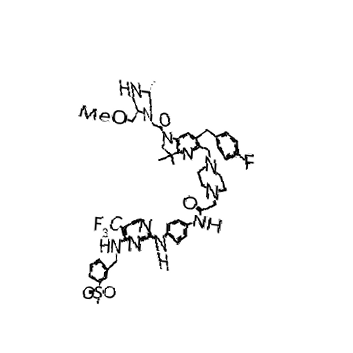 COC[C@H]1CN[C@H](C)CN1CC(=O)N1CC(C)(C)c2nc(CN3CCN(CC(=O)Nc4ccc(Nc5ncc(C(F)(F)F)c(NCc6cccc(S(C)(=O)=O)c6)n5)cc4)CC3)c(Cc3ccc(F)cc3)cc21